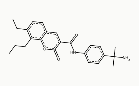 CCCc1c(CC)ccc2cc(C(=O)Nc3ccc(C(C)(C)N)cc3)c(=O)oc12